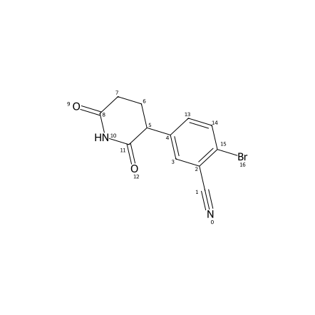 N#Cc1cc(C2CCC(=O)NC2=O)ccc1Br